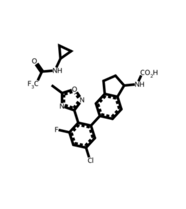 Cc1nc(-c2c(F)cc(Cl)cc2-c2ccc3c(c2)CCC3NC(=O)O)no1.O=C(NC1CC1)C(F)(F)F